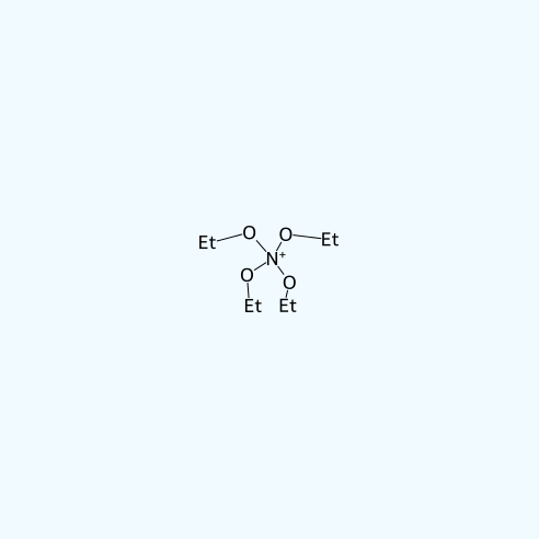 CCO[N+](OCC)(OCC)OCC